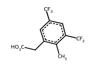 Cc1c(CC(=O)O)cc(C(F)(F)F)cc1C(F)(F)F